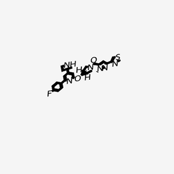 Cn1nc(-c2cscn2)cc1C(=O)N1C[C@@H]2C(Oc3cc(C4(C)CCN4)cc(-c4ccc(F)cc4)n3)[C@@H]2C1